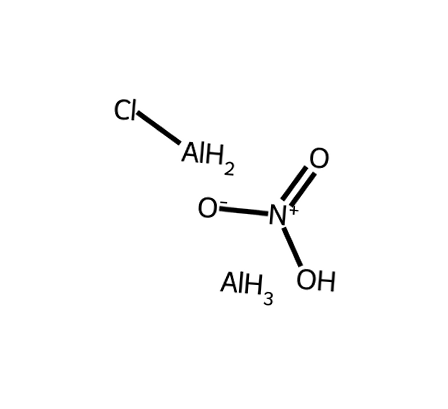 O=[N+]([O-])O.[AlH2][Cl].[AlH3]